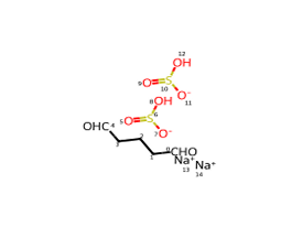 O=CCCCC=O.O=S([O-])O.O=S([O-])O.[Na+].[Na+]